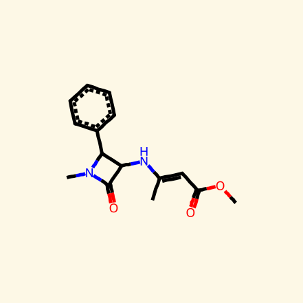 COC(=O)/C=C(\C)NC1C(=O)N(C)C1c1ccccc1